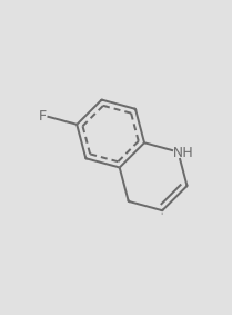 Fc1ccc2c(c1)C[C]=CN2